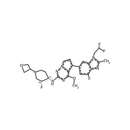 COc1nc(N[C@H]2CCN(C3COC3)C[C@H]2F)nn2ccc(-c3cc(F)c4nc(C)n(CC(F)F)c4c3)c12